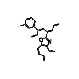 C=C/C=C\c1oc(C(/C=C(\C=C)c2cccc(C)c2)=C/C=C)nc1C=C